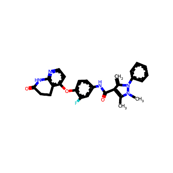 C=C1C(C(=O)Nc2ccc(Oc3ccnc4c3CCC(=O)N4)c(F)c2)=C(C)N(C)N1c1ccccc1